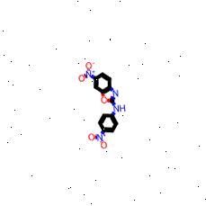 O=[N+]([O-])c1ccc(Nc2nc3ccc([N+](=O)[O-])cc3o2)cc1